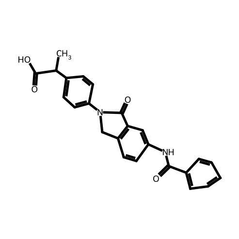 CC(C(=O)O)c1ccc(N2Cc3ccc(NC(=O)c4ccccc4)cc3C2=O)cc1